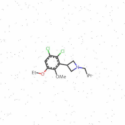 CCOc1cc(Cl)c(Cl)c(C2CN(C[C](C)C)C2)c1OC